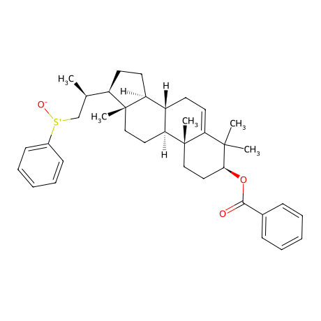 C[C@H](C[S+]([O-])c1ccccc1)[C@H]1CC[C@H]2[C@@H]3CC=C4C(C)(C)[C@@H](OC(=O)c5ccccc5)CC[C@]4(C)[C@H]3CC[C@]12C